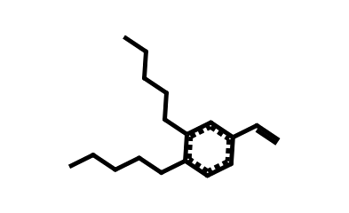 C=Cc1ccc(CCCCC)c(CCCCC)c1